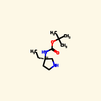 CC[C@@]1(NC(=O)OC(C)(C)C)CCNC1